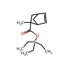 CC[Si](CC)(CC)OC(=O)C1(C)CC2C=CC1C2